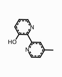 Cc1ccnc(-c2ncccc2O)c1